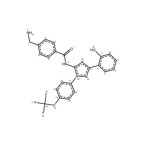 NCc1ccc(C(=O)Nc2nc(-c3ccccc3O)nn2-c2ccc(OC(F)(F)F)cc2)cc1